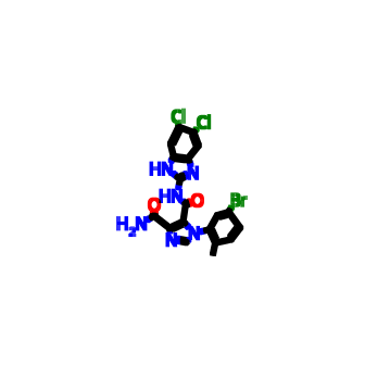 Cc1ccc(Br)cc1-n1cnc(C(N)=O)c1C(=O)Nc1nc2cc(Cl)c(Cl)cc2[nH]1